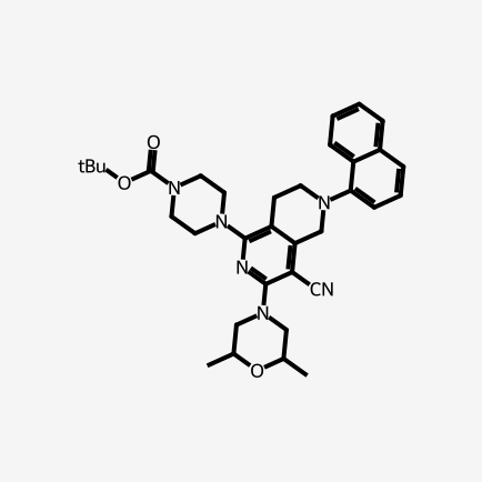 CC1CN(c2nc(N3CCN(C(=O)OC(C)(C)C)CC3)c3c(c2C#N)CN(c2cccc4ccccc24)CC3)CC(C)O1